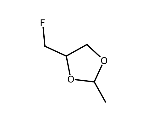 CC1OCC(CF)O1